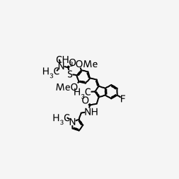 COc1cc(C=C2C(C)=C(CC(=O)NCc3cccn3C)c3cc(F)ccc32)cc(OC)c1SC(=O)N(C)C